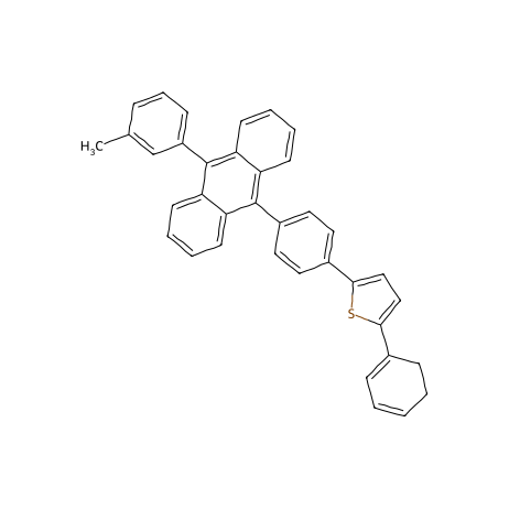 Cc1cccc(-c2c3ccccc3c(-c3ccc(-c4ccc(C5=CC=CCC5)s4)cc3)c3ccccc23)c1